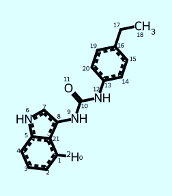 [2H]c1cccc2[nH]cc(NC(=O)Nc3ccc(CC)cc3)c12